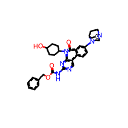 O=C(Nc1ncc2c3ccc(N4CCN5CCC4CC5)cc3c(=O)n(C3CCC(O)CC3)c2n1)OCc1ccccc1